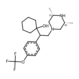 C[C@@H]1CN(CC(c2ccc(OC(F)(F)F)cc2)C2(O)CCCCC2)C[C@H](C)N1